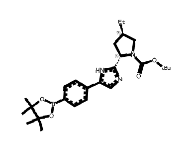 CC[C@@H]1C[C@@H](c2ncc(-c3ccc(B4OC(C)(C)C(C)(C)O4)cc3)[nH]2)N(C(=O)OC(C)(C)C)C1